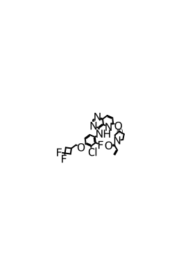 C=CC(=O)N1CC[C@H](Oc2ccc3ncnc(Nc4ccc(OCC5CC(F)(F)C5)c(Cl)c4F)c3n2)C1